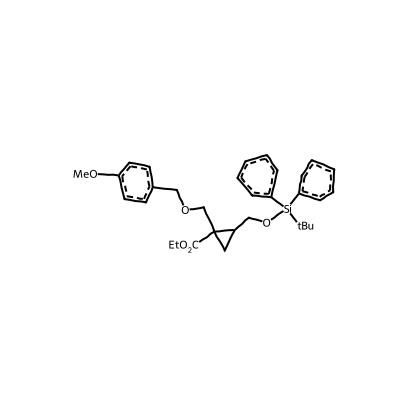 CCOC(=O)C1(COCc2ccc(OC)cc2)CC1CO[Si](c1ccccc1)(c1ccccc1)C(C)(C)C